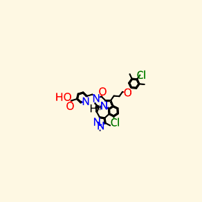 Cc1cc(OCCCc2c3n4c5c(c(Cl)ccc25)-c2c(nn(C)c2C)C[C@@H]4CN(Cc2ccc(C(=O)O)cn2)C3=O)cc(C)c1Cl